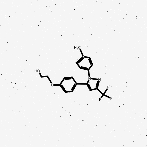 Cc1ccc(-n2nc(C(F)(F)F)cc2-c2ccc(OCCO)cc2)cc1